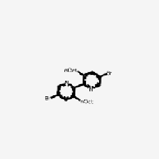 CCCCCCCCc1cc(Br)cnc1-c1ncc(Br)cc1CCCCCCCC